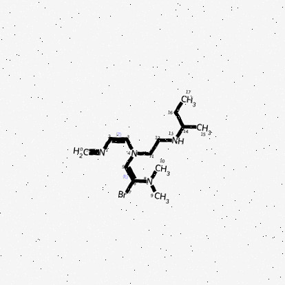 C=N/C=C\N(/C=C(/Br)N(C)C)CCNC(C)CC